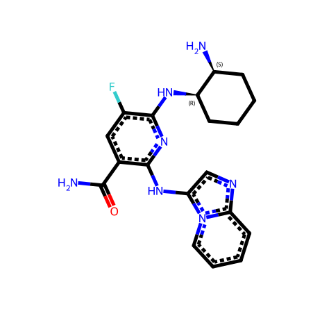 NC(=O)c1cc(F)c(N[C@@H]2CCCC[C@@H]2N)nc1Nc1cnc2ccccn12